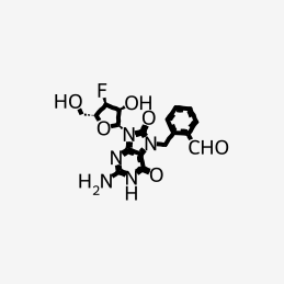 Nc1nc2c(c(=O)[nH]1)n(Cc1ccccc1C=O)c(=O)n2[C@@H]1O[C@H](CO)[C@@H](F)[C@H]1O